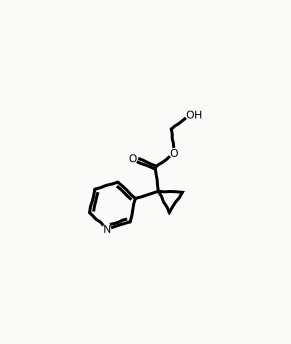 O=C(OCO)C1(c2cccnc2)CC1